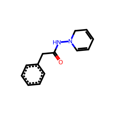 O=C(Cc1ccccc1)NN1C=CC=CC1